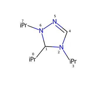 CC(C)C1N(C(C)C)C=NN1C(C)C